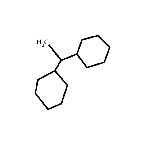 CC(C1[C]CCCC1)C1CCCCC1